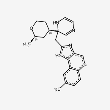 C[C@@H]1C[C@H](C2(Cc3nc4cnc5ccc(C#N)cc5c4[nH]3)C=NC=CN2)CCO1